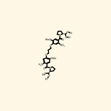 CCOC(SCC)[C@@H]1CCCN1C(=O)c1cc(OC)c(OCCCOc2cc(N)c(C(=O)N3CCC[C@H]3C(OCC)SCC)cc2OC)cc1N